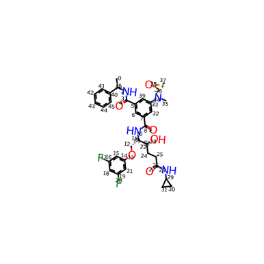 C[C@@H](NC(=O)c1cc(C(=O)N[C@@H](COc2cc(F)cc(F)c2)[C@@H](O)CCC(=O)NC2CC2)cc(N(C)[S+](C)[O-])c1)c1ccccc1